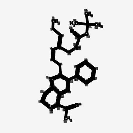 CC/C=C(\C=C/Cc1nc2ccnc(C(C)=O)c2cc1-c1ccccc1)CNC(=O)OC(C)(C)C